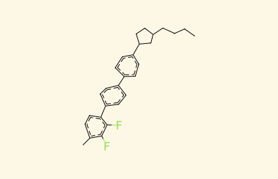 CCCCC1CCC(c2ccc(-c3ccc(-c4ccc(C)c(F)c4F)cc3)cc2)C1